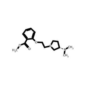 COC(=O)c1ccccc1OCCN1CC[C@H](N(C)C)C1